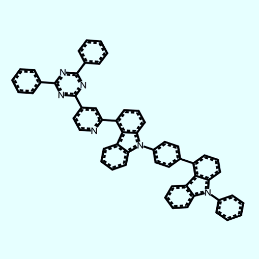 c1ccc(-c2nc(-c3ccccc3)nc(-c3ccnc(-c4cccc5c4c4ccccc4n5-c4ccc(-c5cccc6c5c5ccccc5n6-c5ccccc5)cc4)c3)n2)cc1